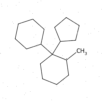 C[C]1CCCCC1(C1CCCCC1)C1CCCC1